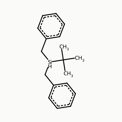 CC(C)(C)[SiH](Cc1ccccc1)Cc1ccccc1